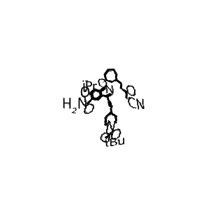 CC(C)Oc1cc2c(O[C@@H]3CCCCC(CCC(=O)CC#N)C3)ncc(C#CC3CCN(C(=O)OC(C)(C)C)CC3)c2cc1C(N)=O